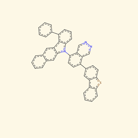 c1ccc(-c2cccc3c2c2cc4ccccc4cc2n3-c2ccc(-c3ccc4sc5ccccc5c4c3)c3cnncc23)cc1